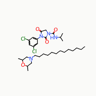 CC(C)NC(=O)N1CC(=O)N(c2cc(Cl)cc(Cl)c2)C1=O.CCCCCCCCCCCCCN1CC(C)OC(C)C1